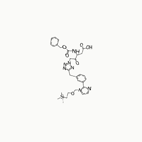 C[Si](C)(C)CCOCn1ccnc1-c1cccc(Cc2nnn(CC(=O)C(CC(=O)O)NC(=O)OCc3ccccc3)n2)c1